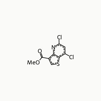 COC(=O)c1csc2c(Cl)cc(Cl)nc12